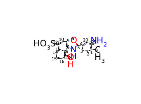 Cc1ccc(C(=O)Nc2ccc(S(=O)(=O)O)c3cccc(O)c23)cc1N